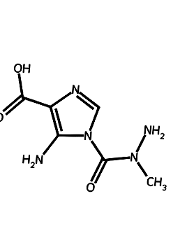 CN(N)C(=O)n1cnc(C(=O)O)c1N